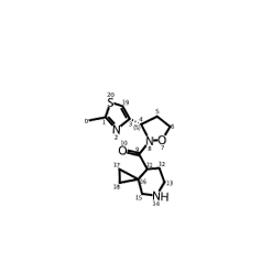 Cc1nc([C@@H]2CCON2C(=O)C2CCNCC23CC3)cs1